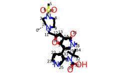 C[C@@H]1CN(S(C)(=O)=O)CCN1Cc1cc2c(=O)n(C)cc(-c3ccncc3N(C(=O)O)C(C)(C)C)c2o1